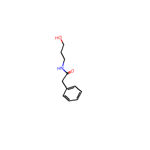 O=C(Cc1ccccc1)NCCCO